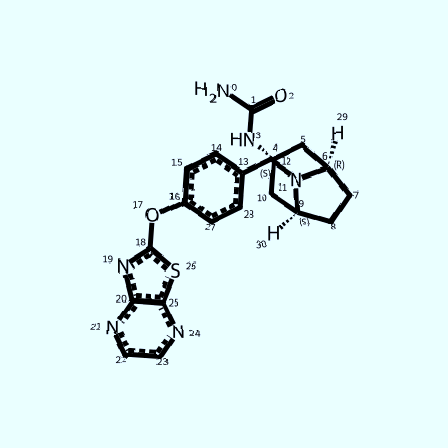 NC(=O)N[C@@H]1C[C@H]2CC[C@@H](C1)N2Cc1ccc(Oc2nc3nccnc3s2)cc1